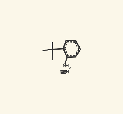 C#N.CC(C)(C)c1ccccc1N